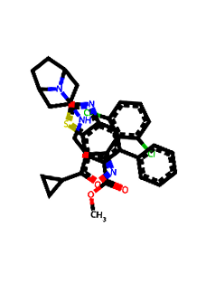 COC(=O)c1cc2sc(N3C4CCC3CC(NCc3c(-c5c(Cl)cccc5Cl)noc3C3CC3)C4)nc2cc1-c1ccccc1